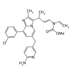 C=CN(C=CC(C)c1c(C)nc2c(-c3cccc(Cl)c3)cc(Cc3ccc(N)nc3)cn12)C(=O)OC